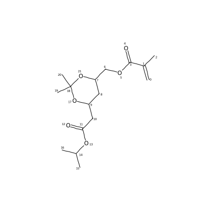 C=C(C)C(=O)OCC1CC(CC(=O)OC(C)C)OC(C)(C)O1